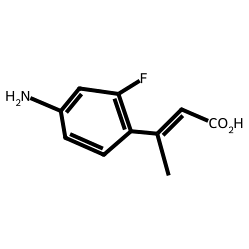 CC(=CC(=O)O)c1ccc(N)cc1F